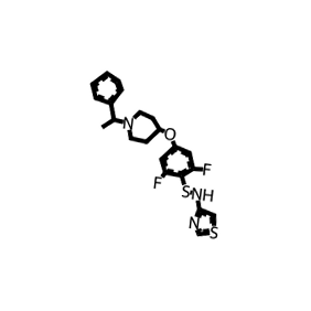 CC(c1ccccc1)N1CCC(Oc2cc(F)c(SNc3cscn3)c(F)c2)CC1